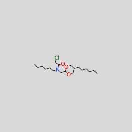 CCCCCCC1COC(CN(CCCCCC)C(=O)CCl)OC1